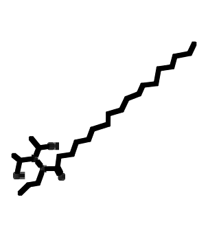 CCCCCCCCCCCCCCCCCC(=O)N(CCC)N(C(C)O)C(C)O